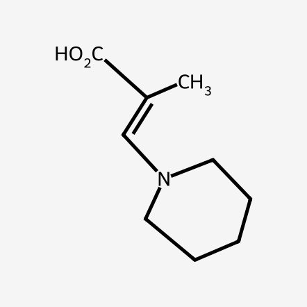 CC(=CN1CCCCC1)C(=O)O